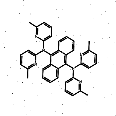 Cc1cccc(N(c2cccc(C)n2)c2c3ccccc3c(N(c3cccc(C)n3)c3cccc(C)n3)c3ccccc23)n1